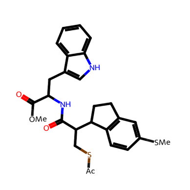 COC(=O)C(Cc1c[nH]c2ccccc12)NC(=O)C(CSC(C)=O)C1CCc2cc(SC)ccc21